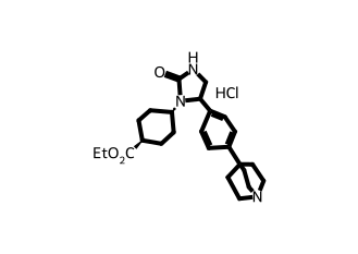 CCOC(=O)[C@H]1CC[C@H](N2C(=O)NCC2c2ccc(C34CCN(CC3)CC4)cc2)CC1.Cl